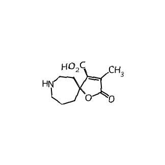 CC1=C(C(=O)O)C2(CCCNCC2)OC1=O